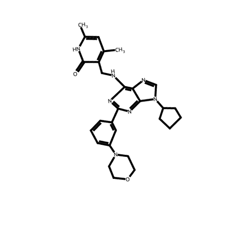 Cc1cc(C)c(CNc2nc(-c3cccc(N4CCOCC4)c3)nc3c2ncn3C2CCCC2)c(=O)[nH]1